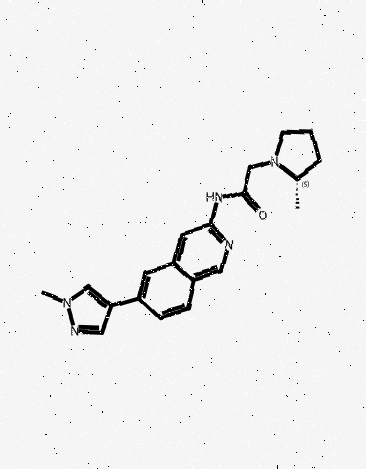 C[C@H]1CCCN1CC(=O)Nc1cc2cc(-c3cnn(C)c3)ccc2cn1